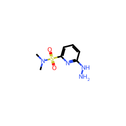 CN(C)S(=O)(=O)c1cccc(NN)n1